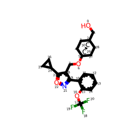 OCC12CCC(OCc3c(-c4ccccc4OC(F)(F)F)noc3C3CC3)(CC1)CC2